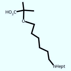 CCCCCCCCCCCCCOC(C)(C)C(=O)O